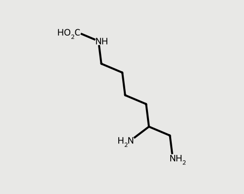 NCC(N)CCCCNC(=O)O